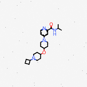 CC(C)NC(=O)c1cc(N2CCC(OC3CCN(C4CCC4)CC3)CC2)ccn1